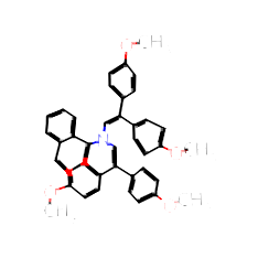 COc1ccc(C(=CN(C=C(c2ccc(OC)cc2)c2ccc(OC)cc2)c2cccc3ccccc23)c2ccc(OC)cc2)cc1